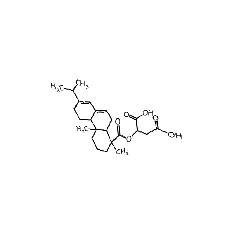 CC(C)C1=CC2=CCC3C(C)(C(=O)OC(CC(=O)O)C(=O)O)CCCC3(C)C2CC1